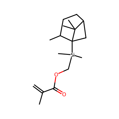 C=C(C)C(=O)OC[Si](C)(C)C12CC(CCC1C)C2(C)C